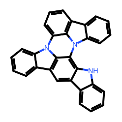 c1ccc2c(c1)[nH]c1c2cc2c3ccccc3n3c4cccc5c6ccccc6n(c54)c1c23